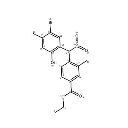 CCOC(=O)c1ccc(N(c2cc(Br)c(C)cc2O)[SH](=O)=O)c(C)c1